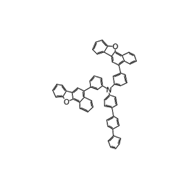 c1ccc(-c2ccc(-c3ccc(N(c4cccc(-c5cc6c7ccccc7oc6c6ccccc56)c4)c4cccc(-c5cc6c7ccccc7oc6c6ccccc56)c4)cc3)cc2)cc1